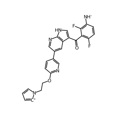 [NH-]c1ccc(F)c(C(=O)c2c[nH]c3ncc(-c4ccc(OCCN5[C+]=CC=C5)nc4)cc23)c1F